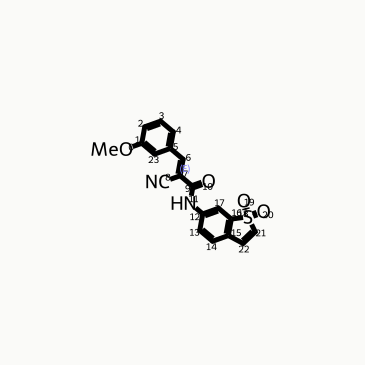 COc1cccc(/C=C(\C#N)C(=O)Nc2ccc3c(c2)S(=O)(=O)C=C3)c1